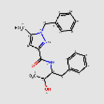 O=C(NC(Cc1ccccc1)C(O)C(=O)O)c1cc(C(=O)O)n(Cc2ccccc2)n1